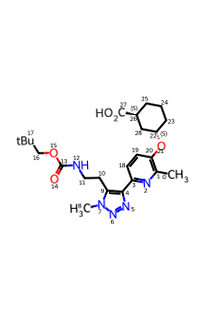 Cc1nc(-c2nnn(C)c2CCNC(=O)OCC(C)(C)C)ccc1O[C@H]1CCC[C@H](C(=O)O)C1